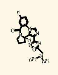 CCCN(CCC)Cc1nc(-c2ncn3c2[C@@H]2CCCN2C(=O)c2cc(F)ccc2-3)no1